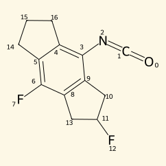 O=C=Nc1c2c(c(F)c3c1CC(F)C3)CCC2